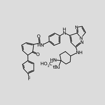 CC(C)(C)C1(NC(=O)O)CCC(Nc2cc(Nc3ccc(NC(=O)C4=CC=CC(c5ccc(F)cc5)C4=O)cc3)c3nccn3n2)CC1